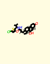 CC(C)[C@H](NC(=O)C[C@@H](C)[C@H]1CC[C@H]2[C@@H]3[C@H](O)C[C@@H]4CC(=O)CC[C@]4(C)[C@H]3CC[C@]12C)c1ccc(Cl)s1